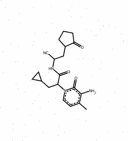 Cc1ccn(C(CC2CC2)C(=O)NC(C#N)CC2CCCC2=O)c(=O)c1N